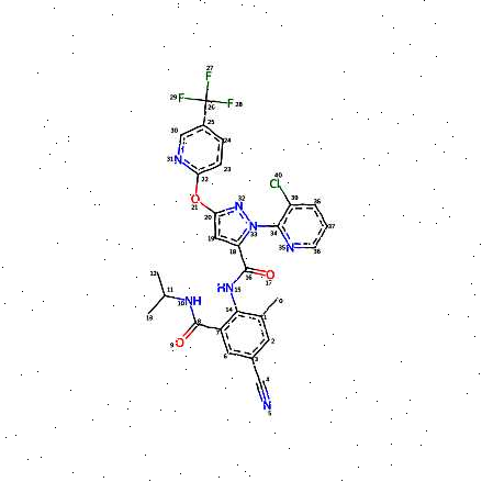 Cc1cc(C#N)cc(C(=O)NC(C)C)c1NC(=O)c1cc(Oc2ccc(C(F)(F)F)cn2)nn1-c1ncccc1Cl